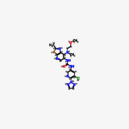 COCCN(C)c1c(NC(=O)Nc2cnc(-n3nccn3)c(Cl)c2)cnc2sc(C)nc12